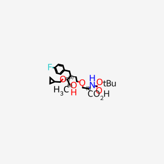 C[C@H](O)[C@H](OCC1CC1)[C@H](CCOC[C@H](NC(=O)OC(C)(C)C)C(=O)O)Cc1ccc(F)cc1